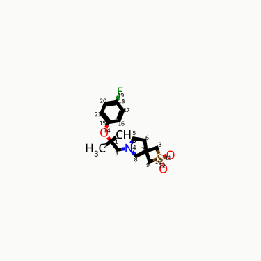 CC(C)(CN1CCC2(C1)CS(=O)(=O)C2)Oc1ccc(F)cc1